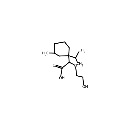 CC1CCCC(C(C)C)(C(OCCO)C(=O)O)C1